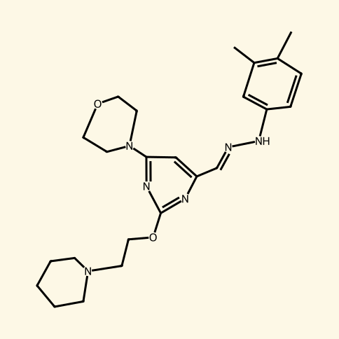 Cc1ccc(N/N=C/c2cc(N3CCOCC3)nc(OCCN3CCCCC3)n2)cc1C